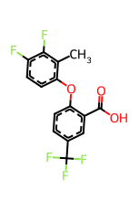 Cc1c(Oc2ccc(C(F)(F)F)cc2C(=O)O)ccc(F)c1F